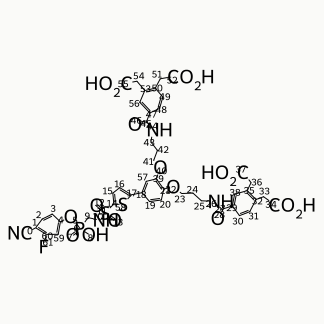 N#Cc1ccc(OP(=O)(O)CNS(=O)(=O)c2ccc(-c3ccc(OCCCNC(=O)c4ccc(CC(=O)O)c(CC(=O)O)c4)c(OCCCNC(=O)c4ccc(CC(=O)O)c(CC(=O)O)c4)c3)s2)cc1F